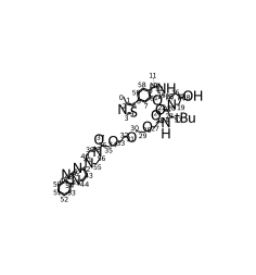 Cc1ncsc1-c1ccc([C@H](C)NC(=O)[C@@H]2C[C@@H](O)CN2C(=O)C(NC(=O)COCCOCCOCC(=O)N2CCN(c3ccn4c(n3)nc3ccccc34)CC2)C(C)(C)C)cc1